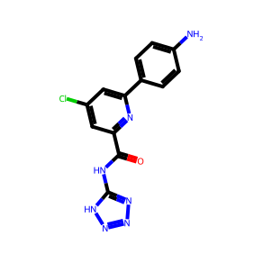 Nc1ccc(-c2cc(Cl)cc(C(=O)Nc3nnn[nH]3)n2)cc1